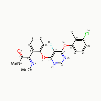 CNC(=O)C(=NOC)c1ccccc1Oc1ncnc(Oc2cccc(Cl)c2C)c1F